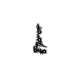 CCCCOC(=O)c1nc(N2CCc3cccc(C(=O)Nc4nc5ccccc5s4)c3C2)ccc1-c1cccc(OCCC2CCCN(CC(=O)OCC)C2)c1C